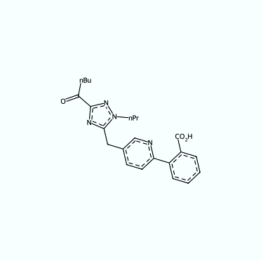 CCCCC(=O)c1nc(Cc2ccc(-c3ccccc3C(=O)O)nc2)n(CCC)n1